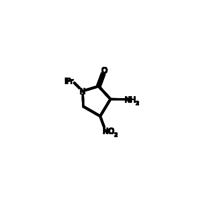 CC(C)N1CC([N+](=O)[O-])C(N)C1=O